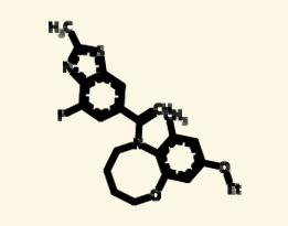 C=C(c1cc(F)c2nc(C)sc2c1)N1CCCCOc2cc(OCC)cc(C)c21